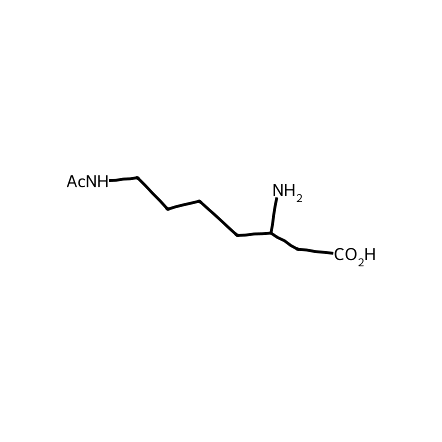 CC(=O)NCCCCC(N)CC(=O)O